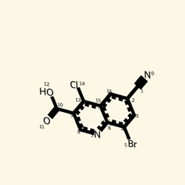 N#Cc1cc(Br)c2ncc(C(=O)O)c(Cl)c2c1